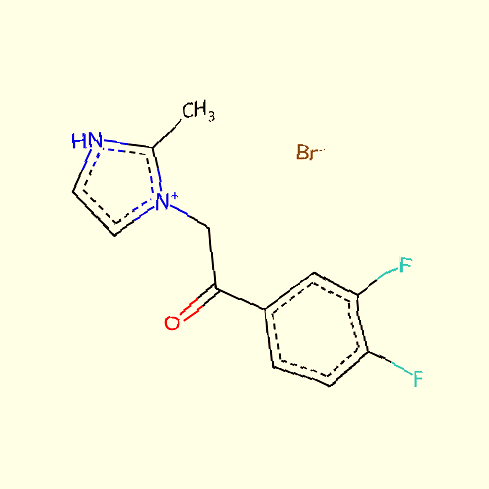 Cc1[nH]cc[n+]1CC(=O)c1ccc(F)c(F)c1.[Br-]